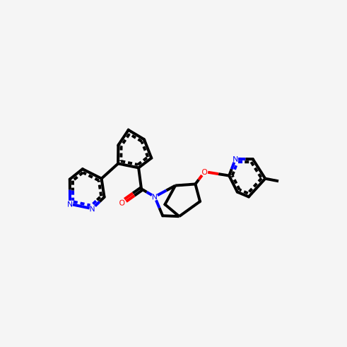 Cc1ccc(OC2CC3CC2N(C(=O)c2ccccc2-c2ccnnc2)C3)nc1